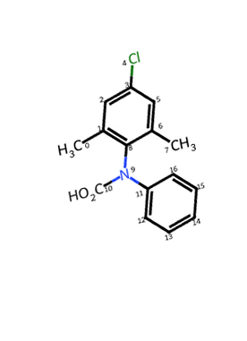 Cc1cc(Cl)cc(C)c1N(C(=O)O)c1ccccc1